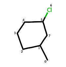 CC1CC[CH]C(Cl)C1